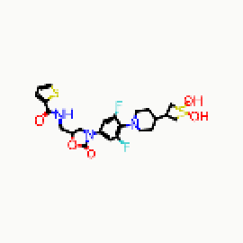 O=C(NCC1CN(c2cc(F)c(N3CCC(C4CS(O)(O)C4)CC3)c(F)c2)C(=O)O1)c1cccs1